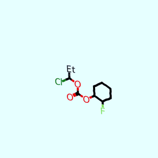 CCC(Cl)OC(=O)OC1CCCCC1F